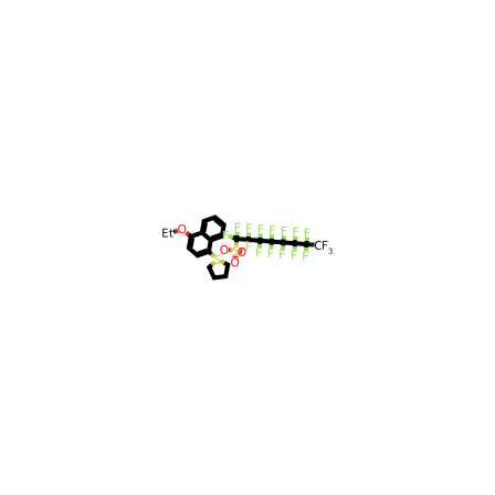 CCOc1ccc(S2(OS(=O)(=O)C(F)(F)C(F)(F)C(F)(F)C(F)(F)C(F)(F)C(F)(F)C(F)(F)C(F)(F)F)CCCC2)c2ccccc12